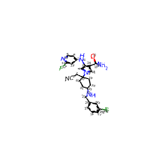 N#CCC1(n2cc(Nc3ccnc(F)c3)c(C(N)=O)c2)CCC(NCc2cccc(F)c2)CC1